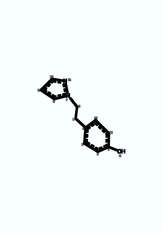 Oc1ccc(CCn2cccn2)cc1